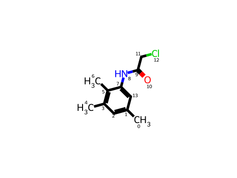 Cc1cc(C)c(C)c(NC(=O)CCl)c1